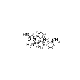 CN1CCCCC1Cn1c2cccc(OCC(=O)O)c2c2c(C(N)=O)cccc21